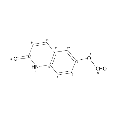 O=COc1ccc2[nH]c(=O)ccc2c1